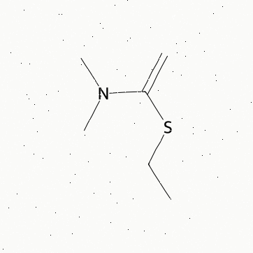 C=C(SCC)N(C)C